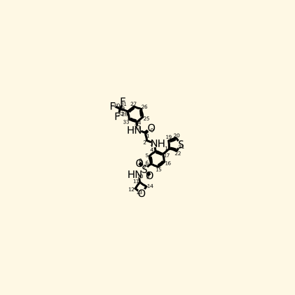 O=C(CNc1cc(S(=O)(=O)NC2COC2)ccc1-c1ccsc1)Nc1cccc(C(F)(F)F)c1